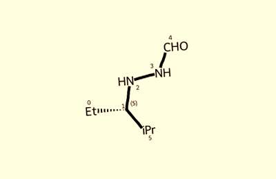 CC[C@H](NNC=O)C(C)C